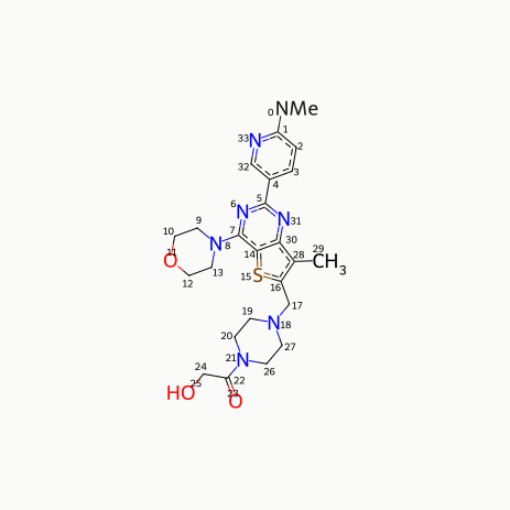 CNc1ccc(-c2nc(N3CCOCC3)c3sc(CN4CCN(C(=O)CO)CC4)c(C)c3n2)cn1